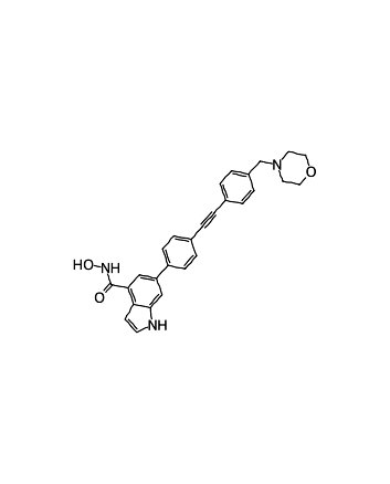 O=C(NO)c1cc(-c2ccc(C#Cc3ccc(CN4CCOCC4)cc3)cc2)cc2[nH]ccc12